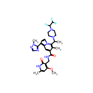 COc1cc(C)[nH]c(=O)c1CNC(=O)c1cc2c(-c3ncnn3C)ccn2c(C(C)N2CCN(C(F)C(F)F)CC2)c1C